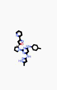 Cc1cc(Nc2cc(NC3CCC(C)CC3)nc(N3CCC[C@H]3c3cc(-c4ccccn4)no3)n2)n[nH]1